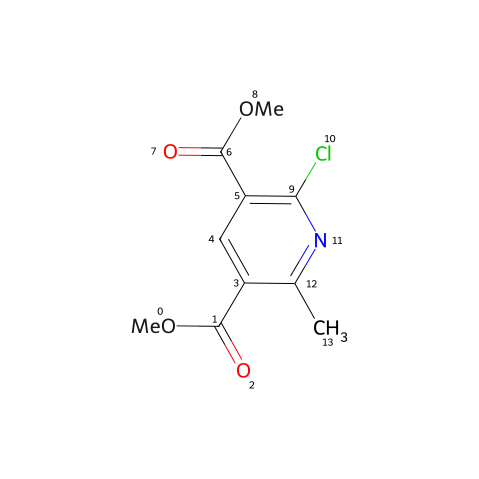 COC(=O)c1cc(C(=O)OC)c(Cl)nc1C